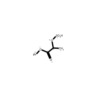 CC(C)OC(=O)C(C)OS(=O)(=O)O